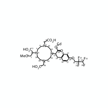 COCC(C(=O)O)N1CCN(CC(=O)O)CCN(C(Cc2ccc(OCC(F)(F)C(F)F)cc2)C(=O)[O][Gd])CCN(CC(=O)O)CC1